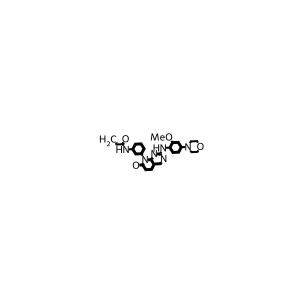 C=CC(=O)Nc1cccc(-n2c(=O)ccc3cnc(Nc4ccc(N5CCOCC5)cc4OC)nc32)c1